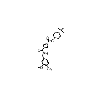 COc1cc(CNC(=O)C2CN(C(=O)O[C@H]3CC[C@@H](C(C)(C)C)CC3)C2)ccc1O